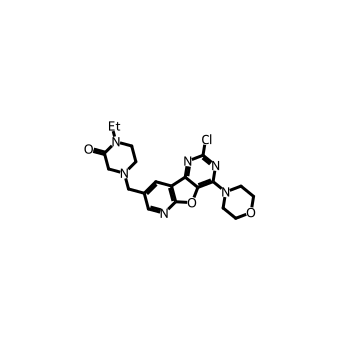 CCN1CCN(Cc2cnc3oc4c(N5CCOCC5)nc(Cl)nc4c3c2)CC1=O